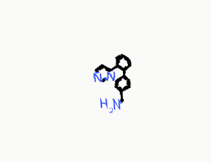 NCc1ccc(-c2ccccc2-c2ccncn2)cc1